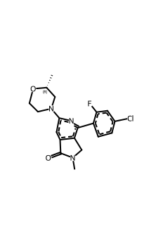 C[C@@H]1CN(c2cc3c(c(-c4ccc(Cl)cc4F)n2)CN(C)C3=O)CCO1